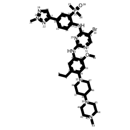 CCc1cc(Nc2ncc(Br)c(Nc3ccc(-c4cnn(C)n4)cc3P(C)(C)=O)n2)c(OC)cc1N1CCC(N2CCN(C)CC2)CC1